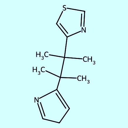 CC(C)(C1=CCC=N1)C(C)(C)c1cscn1